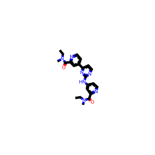 CCN(C)C(=O)c1cc(Nc2nccc(-c3ccnc(C(=O)N(C)CC)c3)n2)ccn1